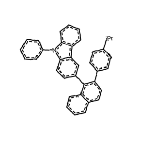 CC(C)c1ccc(-c2ccc3ccccc3c2-c2ccc3c(c2)c2ccccc2n3-c2ccccc2)cc1